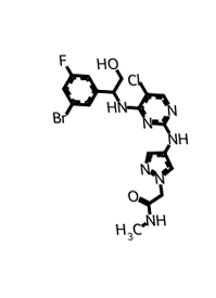 CNC(=O)Cn1cc(Nc2ncc(Cl)c(NC(CO)c3cc(F)cc(Br)c3)n2)cn1